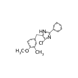 COc1ccc(Cc2[nH]c(-c3ccccc3)nc2Cl)cc1C